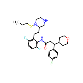 CCCSN1CCNCC1CCc1c(F)ccc(F)c1NC(=O)CC(c1ccc(Cl)cc1)C1CCOCC1